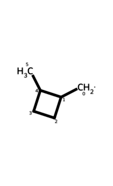 [CH2]C1CCC1C